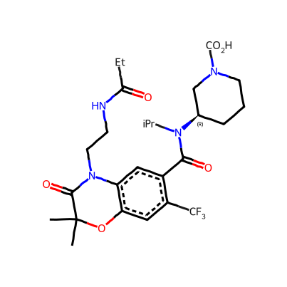 CCC(=O)NCCN1C(=O)C(C)(C)Oc2cc(C(F)(F)F)c(C(=O)N(C(C)C)[C@@H]3CCCN(C(=O)O)C3)cc21